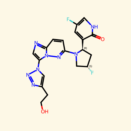 O=c1[nH]cc(F)cc1[C@H]1C[C@H](F)CN1c1ccc2ncc(-n3cc(CCO)nn3)n2n1